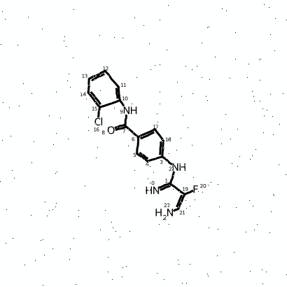 N=C(Nc1ccc(C(=O)Nc2ccccc2Cl)cc1)/C(F)=C\N